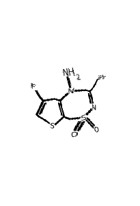 CC(C)C1=NS(=O)(=O)c2scc(F)c2N1N